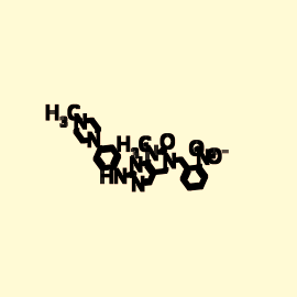 CN1CCN(c2ccc(Nc3ncc4c(n3)N(C)C(=O)N(Cc3ccccc3[N+](=O)[O-])C4)cc2)CC1